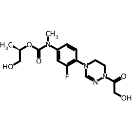 C[C@H](CO)OC(=O)N(C)c1ccc(N2C=NN(C(=O)CO)CC2)c(F)c1